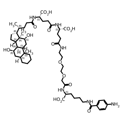 C[C@H](CCC(=O)N[C@@H](CCC(=O)N[C@@H](CCC(=O)NCCOCCOCC(=O)N[C@@H](CCCCNC(=O)c1ccc(N)cc1)C(=O)O)C(=O)O)C(=O)O)[C@H]1CC[C@H]2[C@@H]3[C@H](O)C[C@@H]4CCCC[C@]4(C)[C@H]3C[C@H](O)[C@]12C